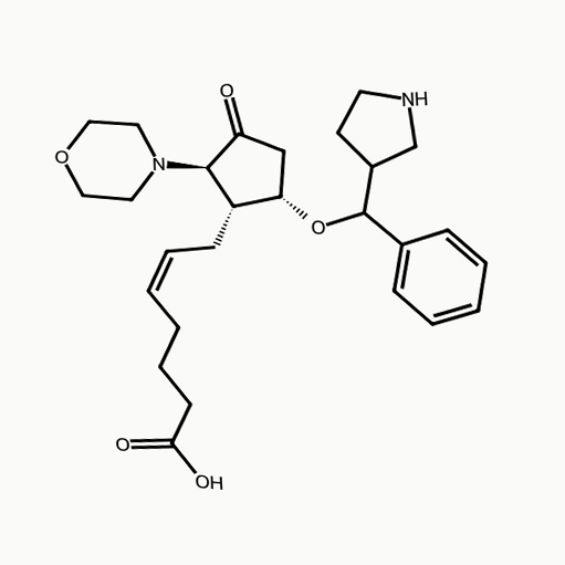 O=C(O)CCC/C=C\C[C@H]1[C@@H](OC(c2ccccc2)C2CCNC2)CC(=O)[C@@H]1N1CCOCC1